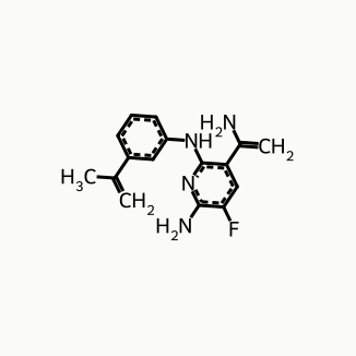 C=C(C)c1cccc(Nc2nc(N)c(F)cc2C(=C)N)c1